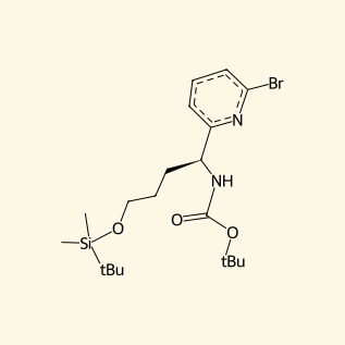 CC(C)(C)OC(=O)N[C@@H](CCCO[Si](C)(C)C(C)(C)C)c1cccc(Br)n1